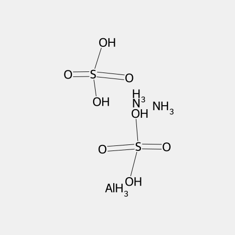 N.N.O=S(=O)(O)O.O=S(=O)(O)O.[AlH3]